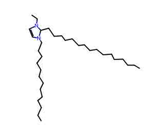 CCCCCCCCCCCCCCCCC1N(CC)C=CN1CCCCCCCCCCCCC